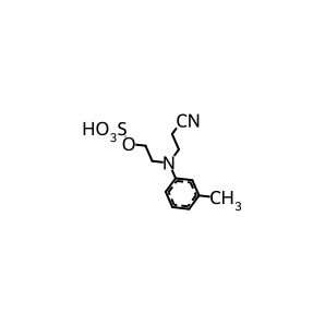 Cc1cccc(N(CCC#N)CCOS(=O)(=O)O)c1